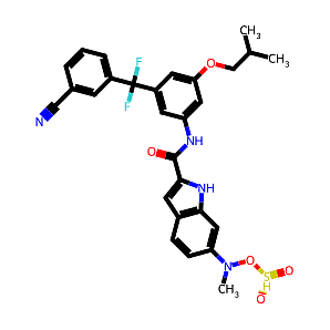 CC(C)COc1cc(NC(=O)c2cc3ccc(N(C)O[SH](=O)=O)cc3[nH]2)cc(C(F)(F)c2cccc(C#N)c2)c1